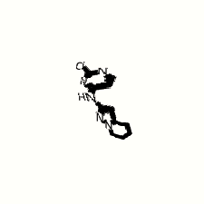 Clc1nccc(Nc2cc3n(n2)CCCC3)n1